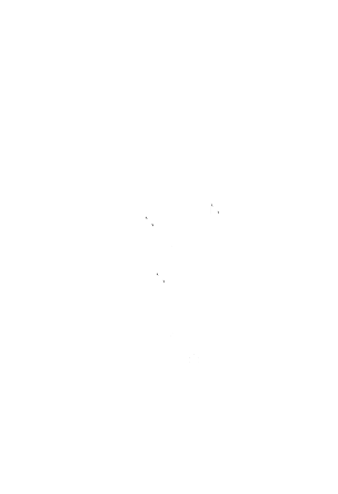 O=C1CCCN(c2cnc3ccccc3n2)C1